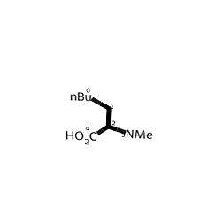 CCCCCC(NC)C(=O)O